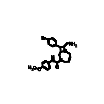 COc1ccc(NC(=O)N2CC=CCN3C(CN)C(c4ccc(Br)cc4)C3C2)cc1